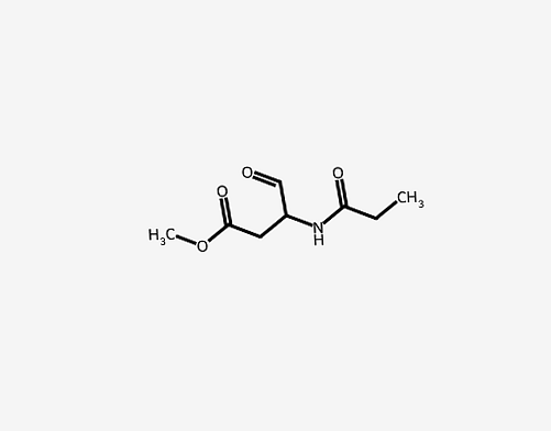 CCC(=O)NC(C=O)CC(=O)OC